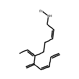 C=C/C=C\C(=C)/C(=C\C)CC/C=C\CNCC